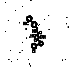 N#Cc1ccccc1N1CCC(CNC(=O)C(O)[C@@H](O)C(=O)N2CCCC2c2cccc(Cl)c2)CC1